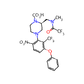 CN(C[C@H]1CN(c2c([N+](=O)[O-])ccc(Oc3ccccc3)c2C(F)(F)F)CCN1C(=O)O)C(=O)C(F)(F)F